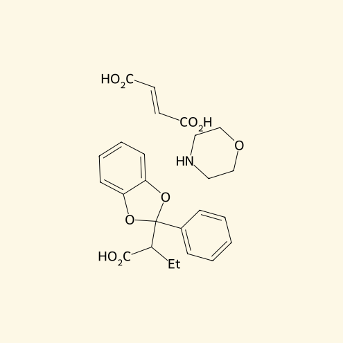 C1COCCN1.CCC(C(=O)O)C1(c2ccccc2)Oc2ccccc2O1.O=C(O)C=CC(=O)O